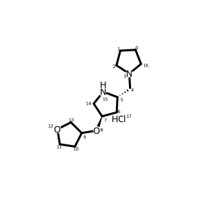 C1CCN(C[C@@H]2C[C@@H](OC3CCOC3)CN2)C1.Cl